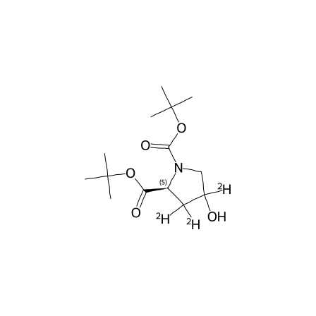 [2H]C1(O)CN(C(=O)OC(C)(C)C)[C@H](C(=O)OC(C)(C)C)C1([2H])[2H]